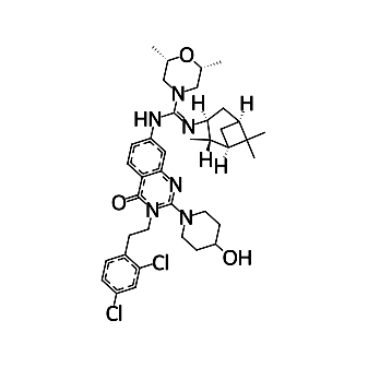 C[C@@H]1[C@@H](N=C(Nc2ccc3c(=O)n(CCc4ccc(Cl)cc4Cl)c(N4CCC(O)CC4)nc3c2)N2C[C@@H](C)O[C@@H](C)C2)C[C@@H]2C[C@H]1C2(C)C